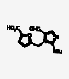 CCCCc1ncc(C=O)n1Cc1ccc(C(=O)O)o1